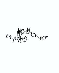 Cn1c(=O)n([C@H]2CCCOC2)c2c3cc(-c4ccc(COCCN5CC6CC6C5)nc4)ccc3nnc21